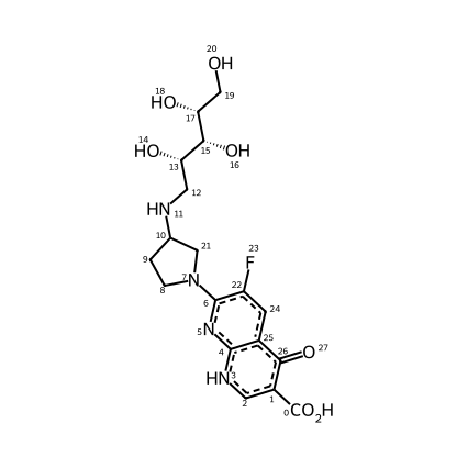 O=C(O)c1c[nH]c2nc(N3CCC(NC[C@H](O)[C@@H](O)[C@H](O)CO)C3)c(F)cc2c1=O